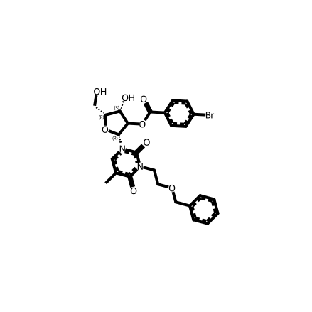 Cc1cn([C@@H]2O[C@H](CO)[C@H](O)C2OC(=O)c2ccc(Br)cc2)c(=O)n(CCOCc2ccccc2)c1=O